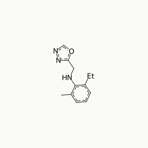 CCc1cccc(C)c1NCc1nnco1